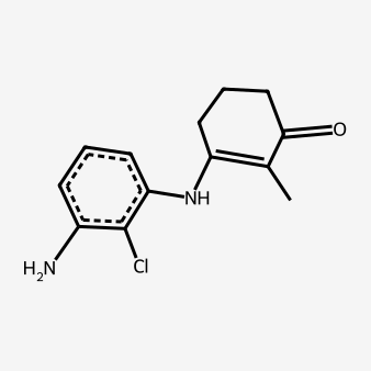 CC1=C(Nc2cccc(N)c2Cl)CCCC1=O